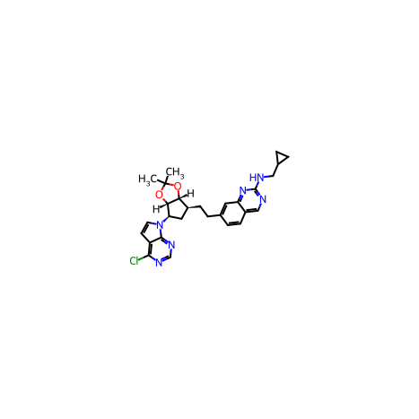 CC1(C)O[C@@H]2[C@@H](CCc3ccc4cnc(NCC5CC5)nc4c3)C[C@@H](n3ccc4c(Cl)ncnc43)[C@@H]2O1